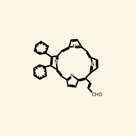 O=CC=CC1=C2C=CC(=N2)C=C2N=C(C=C3C=CC(=N3)C=C3C=CC1=N3)C(c1ccccc1)=C2c1ccccc1